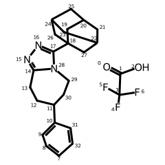 O=C(O)C(F)(F)F.c1ccc(C2CCc3nnc(C45CC6CC(CC(C6)C4)C5)n3CC2)cc1